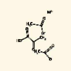 CC(=O)C(=O)O.CC(=O)[O-].CC(=O)[O-].[Ni+2]